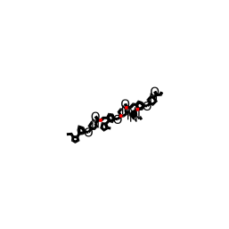 C=CC(=O)N1CCC(Oc2ccc(/C=C/C(=O)N3CCC(Oc4ccc(/C=C/C(=O)N5CCC(Oc6cccc(C7CCCC7CC)c6)CC5)c(C5=C(C)CCC5)c4)CC3)c(-c3nnnn3CC)c2)CC1